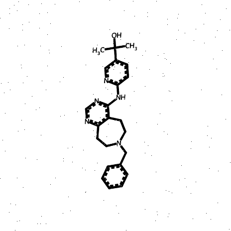 CC(C)(O)c1ccc(Nc2ncnc3c2CCN(Cc2ccccc2)CC3)nc1